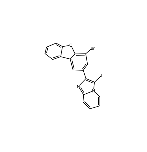 Brc1cc(-c2nc3ccccn3c2I)cc2c1oc1ccccc12